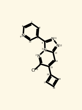 Clc1nn2c(-c3cccnc3)nnc2cc1C1=CC=C1